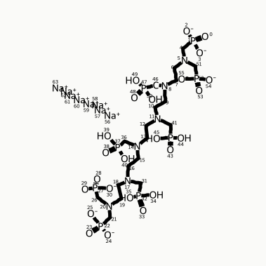 O=P([O-])([O-])CN(CCN(CCN(CCN(CCN(CCN(CP(=O)([O-])[O-])CP(=O)([O-])[O-])CP(=O)(O)O)CP(=O)(O)O)CP(=O)(O)O)CP(=O)(O)O)CP(=O)([O-])[O-].[Na+].[Na+].[Na+].[Na+].[Na+].[Na+].[Na+].[Na+]